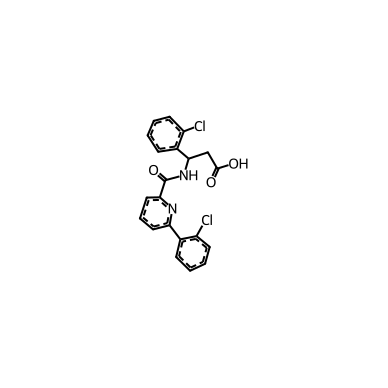 O=C(O)CC(NC(=O)c1cccc(-c2ccccc2Cl)n1)c1ccccc1Cl